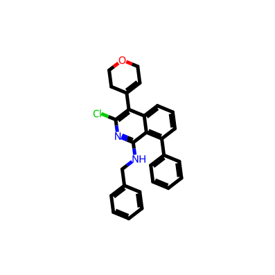 Clc1nc(NCc2ccccc2)c2c(-c3ccccc3)cccc2c1C1=CCOCC1